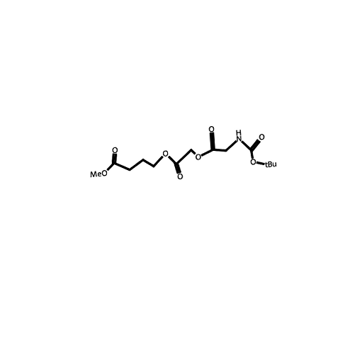 COC(=O)CCCOC(=O)COC(=O)CNC(=O)OC(C)(C)C